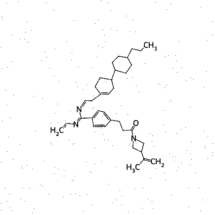 C=C/N=C(\N=C/CC1=CCC(C2CCC(CCC)CC2)CC1)c1ccc(CCC(=O)N2CC(C(=C)C)C2)cc1